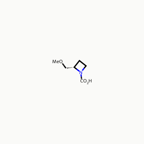 COC[C@@H]1CCN1C(=O)O